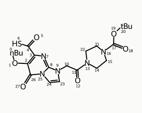 CCCCOc1c(C(=O)S)nc2n(CC(=O)N3CCN(C(=O)OC(C)(C)C)CC3)ccn2c1=O